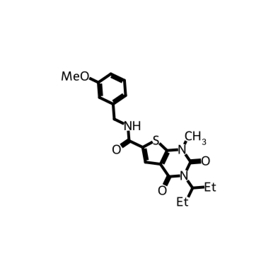 CCC(CC)n1c(=O)c2cc(C(=O)NCc3cccc(OC)c3)sc2n(C)c1=O